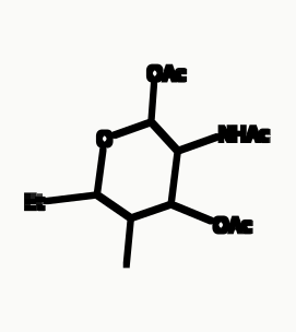 CCC1OC(OC(C)=O)C(NC(C)=O)C(OC(C)=O)C1C